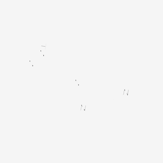 c1cc(-c2cn[nH]c2)nc(C2CCNC2)n1